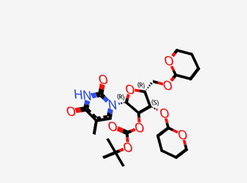 Cc1cn([C@@H]2O[C@H](COC3CCCCO3)[C@H](OC3CCCCO3)C2OC(=O)OC(C)(C)C)c(=O)[nH]c1=O